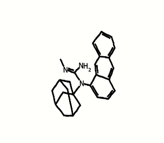 CN=C(N)N(c1cccc2cc3ccccc3cc12)C12CC3CC(CC(C3)C1)C2